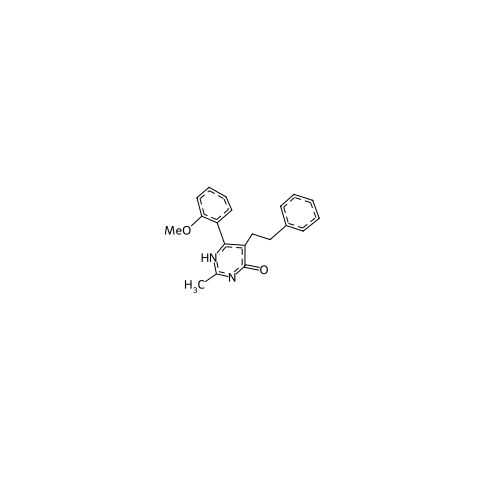 COc1ccccc1-c1[nH]c(C)nc(=O)c1CCc1ccccc1